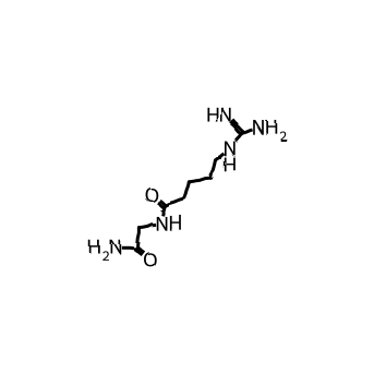 N=C(N)NCCCCC(=O)NCC(N)=O